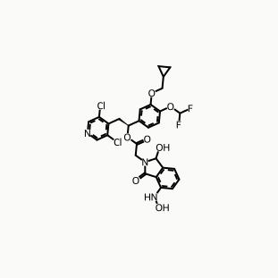 O=C(CN1C(=O)c2c(NO)cccc2C1O)O[C@@H](Cc1c(Cl)cncc1Cl)c1ccc(OC(F)F)c(OCC2CC2)c1